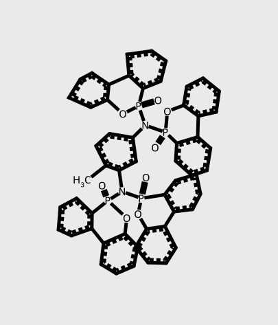 Cc1ccc(N(P2(=O)Oc3ccccc3-c3ccccc32)P2(=O)Oc3ccccc3-c3ccccc32)cc1N(P1(=O)Oc2ccccc2-c2ccccc21)P1(=O)Oc2ccccc2-c2ccccc21